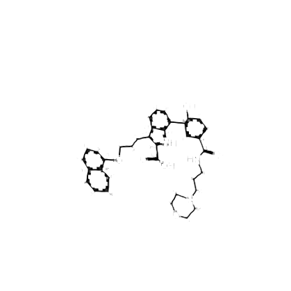 Cc1ccc(C(=O)NCCCN2CCOCC2)cc1-c1cccc2c(CCCOc3cccc4ccccc34)c(C(=O)O)[nH]c12